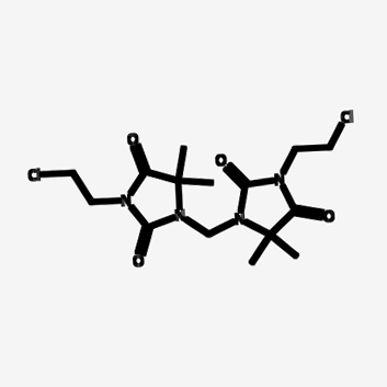 CC1(C)C(=O)N(CCCl)C(=O)N1CN1C(=O)N(CCCl)C(=O)C1(C)C